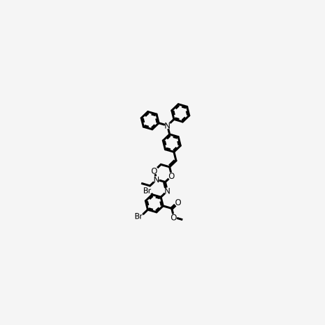 CCN1OC/C(=C\c2ccc(N(c3ccccc3)c3ccccc3)cc2)O/C1=N/c1c(Br)cc(Br)cc1C(=O)OC